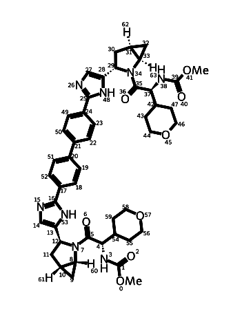 COC(=O)N[C@H](C(=O)N1[C@@H]2C[C@@H]2C[C@H]1c1cnc(-c2ccc(-c3ccc(-c4ncc([C@@H]5C[C@H]6C[C@H]6N5C(=O)[C@@H](NC(=O)OC)C5CCOCC5)[nH]4)cc3)cc2)[nH]1)C1CCOCC1